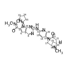 CN(C)C(=O)c1cc2cnc(Nc3ccc(N4CC5C[C@@H](CC4=O)N5C)cn3)nc2n1C1CCCC1